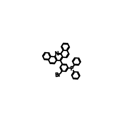 Brc1cc(-c2c3ccc4ccccc4c3nc3c2ccc2ccccc23)cc(P(c2ccccc2)c2ccccc2)c1